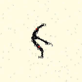 C=CC(=O)OCCCCCCCCCOc1cccc(-c2nc3cc(OC(=O)c4ccc(OCCOCCOCC)cc4)ccc3nc2-c2cccc(OC(=O)c3ccc(C(=O)OC4CCC(C(=O)Oc5ccc(OCCCCCCO)cc5)CC4)cc3)c2)c1